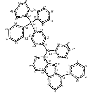 c1ccc(-c2cccc3c2oc2c(N(c4ccccc4)c4ccc(S(c5ccccc5)(c5ccccc5)c5ccccc5)cc4)cccc23)cc1